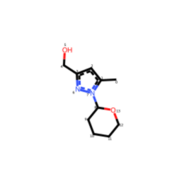 Cc1cc(CO)nn1C1CCCCO1